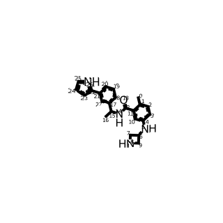 Cc1ccc(NC2CNC2)cc1C(=O)NC(C)c1cccc(-c2ccc[nH]2)c1